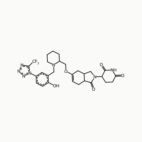 O=C1CCC(N2CC3CC(OCC4CCCCN4Cc4cc(-n5nnnc5C(F)(F)F)ccc4O)=CCC3C2=O)C(=O)N1